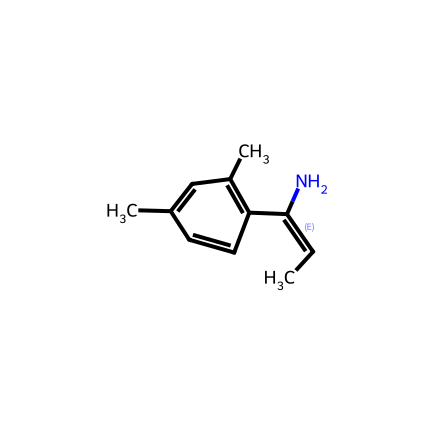 C/C=C(/N)c1ccc(C)cc1C